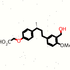 COc1ccc(CC[C@@H](C)c2ccc(OCC(=O)O)cc2)cc1CO